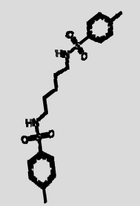 Cc1ccc(S(=O)(=O)NCCCCCNS(=O)(=O)c2ccc(C)cc2)cc1